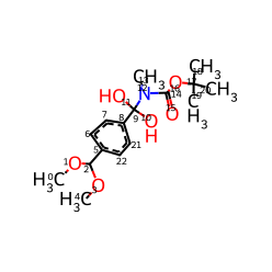 COC(OC)c1ccc(C(O)(O)N(C)C(=O)OC(C)(C)C)cc1